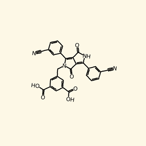 N#Cc1cccc(C2=C3C(=O)N(Cc4cc(C(=O)O)cc(C(=O)O)c4)C(c4cccc(C#N)c4)=C3C(=O)N2)c1